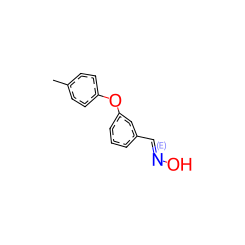 Cc1ccc(Oc2cccc(/C=N/O)c2)cc1